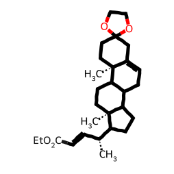 CCOC(=O)/C=C/[C@@H](C)C1CCC2C3CC=C4CC5(CC[C@]4(C)C3CC[C@@]21C)OCCO5